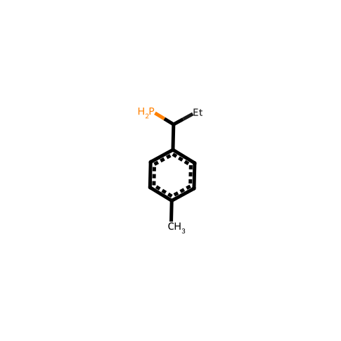 CCC(P)c1ccc(C)cc1